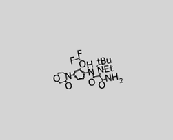 CCN(CC(C)(C)C)[C@@H](C(N)=O)C(=O)Nc1ccc(N2CCOCC2=O)cc1OC(F)F